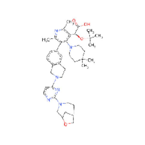 Cc1nc(C)c([C@H](OC(C)(C)C)C(=O)O)c(N2CCC(C)(C)CC2)c1-c1ccc2c(c1)CCN(c1ccnc(N3CCC4COC(C4)C3)n1)C2